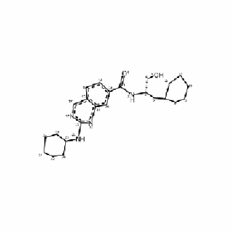 O=C(N[C@H](CO)CC1CCCCC1)c1ccc2cnc(NC3CCCCC3)nc2c1